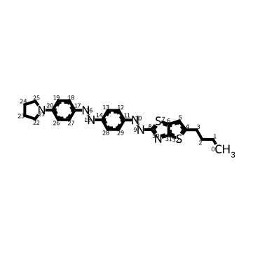 CCCCc1cc2sc(N=Nc3ccc(N=Nc4ccc(N5CCCC5)cc4)cc3)nc2s1